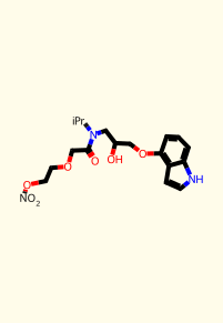 CC(C)N(CC(O)COc1cccc2[nH]ccc12)C(=O)COCCO[N+](=O)[O-]